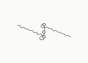 CCCCCCCCCCCCC1(COCC2(CCCCCCCCCCCC)CCCO2)CCCO1